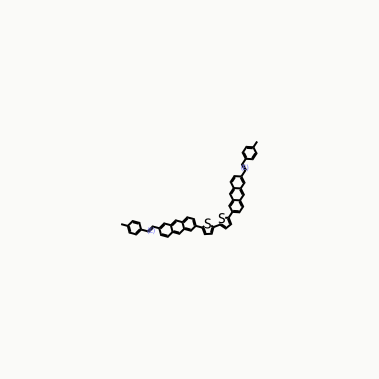 Cc1ccc(/C=C/c2ccc3cc4cc(-c5ccc(-c6ccc(-c7ccc8cc9cc(/C=C/c%10ccc(C)cc%10)ccc9cc8c7)s6)s5)ccc4cc3c2)cc1